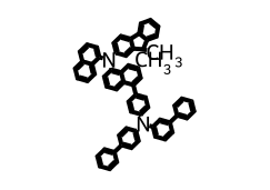 CC1(C)c2ccccc2-c2ccc(N(c3cccc4ccccc34)c3cccc4c(-c5ccc(N(c6ccc(-c7ccccc7)cc6)c6cccc(-c7ccccc7)c6)cc5)cccc34)cc21